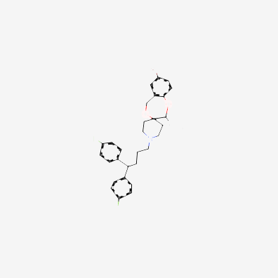 CC1Oc2ccc(Br)cc2COC12CCN(CCCC(c1ccc(F)cc1)c1ccc(F)cc1)CC2